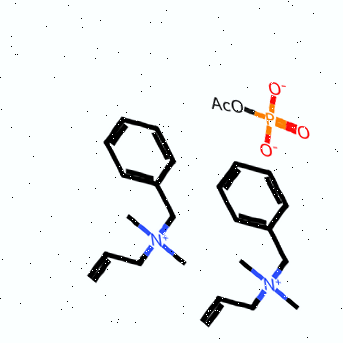 C=CC[N+](C)(C)Cc1ccccc1.C=CC[N+](C)(C)Cc1ccccc1.CC(=O)OP(=O)([O-])[O-]